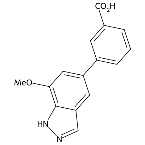 COc1cc(-c2cccc(C(=O)O)c2)cc2cn[nH]c12